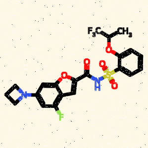 CC(Oc1ccccc1S(=O)(=O)NC(=O)c1cc2c(F)cc(N3CCC3)cc2o1)C(F)(F)F